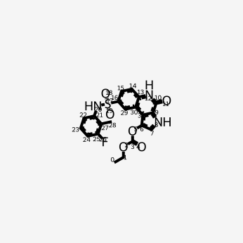 CCOC(=O)Oc1c[nH]c2c(=O)[nH]c3ccc(S(=O)(=O)Nc4cccc(F)c4C)cc3c12